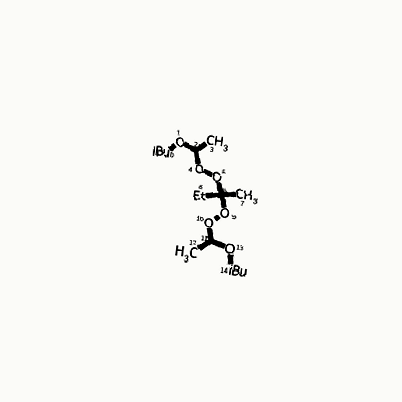 CCC(C)OC(C)OOC(C)(CC)OOC(C)OC(C)CC